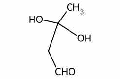 CC(O)(O)CC=O